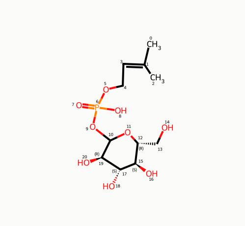 CC(C)=CCOP(=O)(O)OC1O[C@H](CO)[C@@H](O)[C@H](O)[C@H]1O